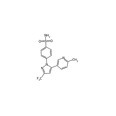 Cc1ccc(-c2cc(C(F)(F)F)nn2-c2ccc(S(N)(=O)=O)cc2)cn1